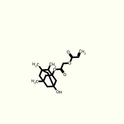 C=CC(=O)OCC(=O)OC12CC3(C)CC(O)(CC(C)(C3)C1C)C2